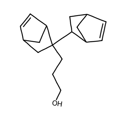 OCCCC1(C2CC3C=CC2C3)CC2C=CC1C2